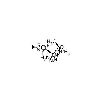 CC#CC(=O)N1Cc2c(C#Cc3c(F)cc4sc(C5CC5)nc4c3F)c3c(N)ncnc3n2CC1C